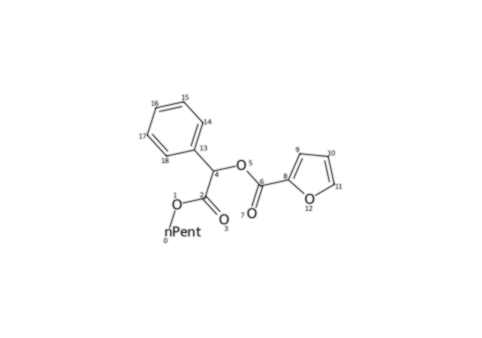 CCCCCOC(=O)C(OC(=O)c1ccco1)c1ccccc1